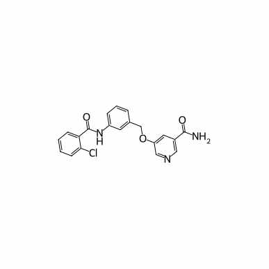 NC(=O)c1cncc(OCc2cccc(NC(=O)c3ccccc3Cl)c2)c1